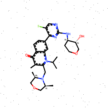 Cc1c(CN2[C@H](C)COC[C@@H]2C)n(C(C)C)c2cc(-c3nc(N[C@@H]4CCOC[C@H]4O)ncc3F)ccc2c1=O